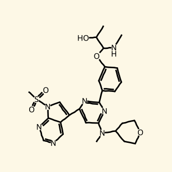 CNC(Oc1cccc(-c2nc(-c3cn(S(C)(=O)=O)c4ncncc34)cc(N(C)C3CCOCC3)n2)c1)C(C)O